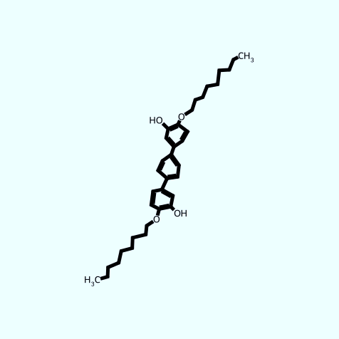 CCCCCCCCCOc1ccc(-c2ccc(-c3ccc(OCCCCCCCCC)c(O)c3)cc2)cc1O